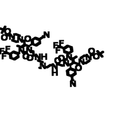 CC1=C(C(=O)N2CCN(C(=O)OC(C)(C)C)CC2)[C@@H](c2ccc(C#N)cc2)N(CC(=O)NCCN(C)CCNC(=O)CN2C(=O)N(c3cccc(C(F)(F)F)c3)C(C)=C(C(=O)N3CCN(C(=O)OC(C)(C)C)CC3)[C@H]2c2ccc(C#N)cc2)C(=O)N1c1cccc(C(F)(F)F)c1